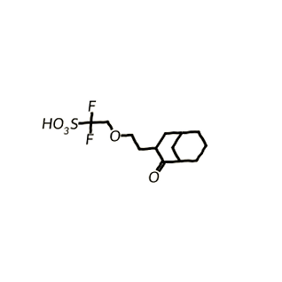 O=C1C2CCCC(C2)CC1CCOCC(F)(F)S(=O)(=O)O